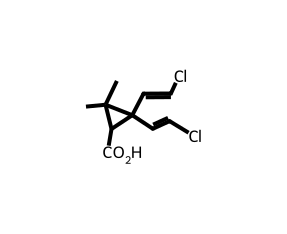 CC1(C)C(C(=O)O)C1(C=CCl)C=CCl